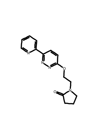 O=C1CCCN1CCOc1ccc(-c2ccccn2)nn1